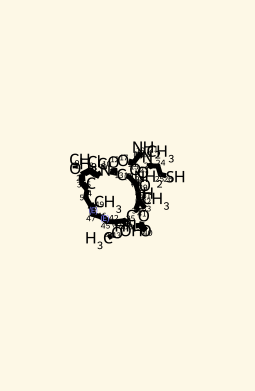 COc1cc2cc(c1Cl)N(C)C(=O)C[C@H](OC(=O)[C@H](N)N(C)C(=O)CCS)[C@]1(N)O[C@H]1[C@@]1(C)C[C@]13C[C@@](O)(NC(=O)O3)[C@H](OC)/C=C/C=C(\C)C2